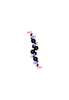 O=C(c1ccc(CNCCO)cc1)N1CCc2c(-c3cccc4c3CCN4C(=O)c3ccc(CNCCO)cc3)cccc21